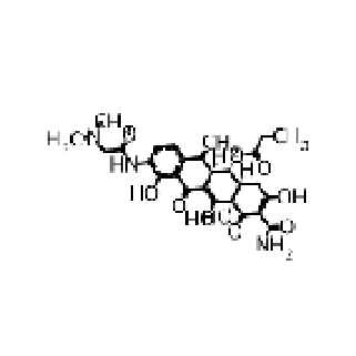 C=C1c2ccc(NC(=O)CN(C)C)c(O)c2C(=O)C2=C(O)[C@]3(O)C(=O)C(C(N)=O)=C(O)C[C@@H]3[C@@H](OC(=O)CC)[C@H]12